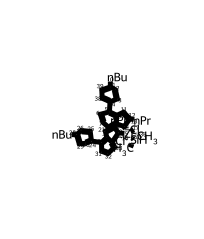 CCCCc1ccc(-c2cccc3c2C=C(CCC)[CH]3[Zr]([Cl])([Cl])([CH]2C(CCC)=Cc3c(-c4ccc(CCCC)cc4)cccc32)[SiH](C)C)cc1